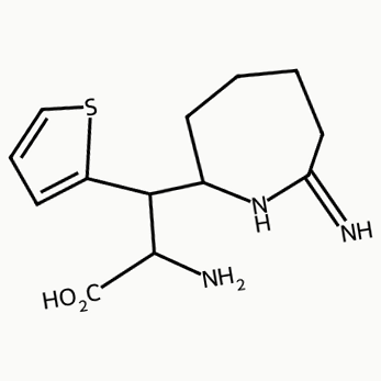 N=C1CCCCC(C(c2cccs2)C(N)C(=O)O)N1